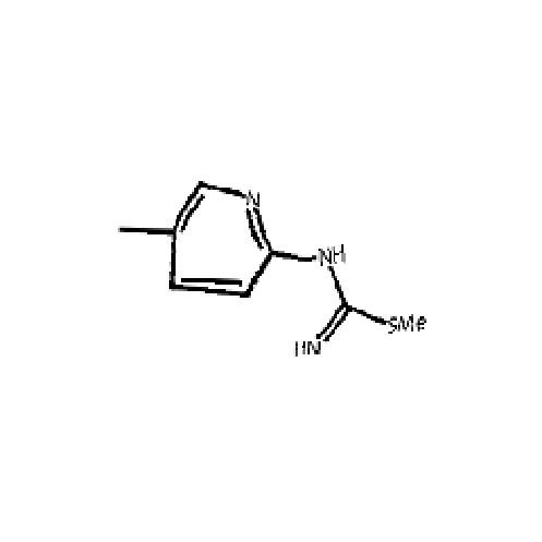 CSC(=N)Nc1ccc(C)cn1